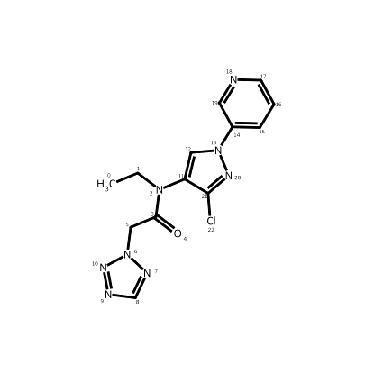 CCN(C(=O)Cn1ncnn1)c1cn(-c2cccnc2)nc1Cl